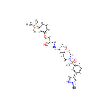 CCn1cc(-c2cccc(S(=O)(=O)N3CCC4(CC3)C[C@H](NCC(O)COc3cccc(S(=O)(=O)NC)c3)CO4)c2)cn1